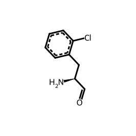 N[C@H](C=O)Cc1ccccc1Cl